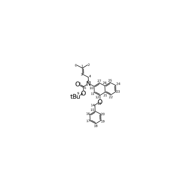 CC(C)=CCN(C(=O)OC(C)(C)C)c1cc(OCc2ccccc2)c2ccccc2c1